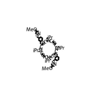 COc1cnn(Cc2cccc(C[C@@H]3CN(C)[C@@H](CC(C)C)CO[C@H](C)CN(C)[C@@H](CC(C)C)CO[C@H](Cc4cccc(Cn5cc(OC)cn5)c4)CN(C)[C@@H](CC(C)C)CO[C@H](C)CN(C)[C@@H](CC(C)C)CO3)c2)c1